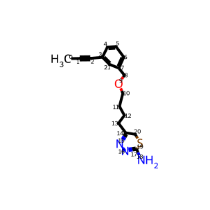 CC#Cc1cccc(COCCCCC2=NN=C(N)SC2)c1